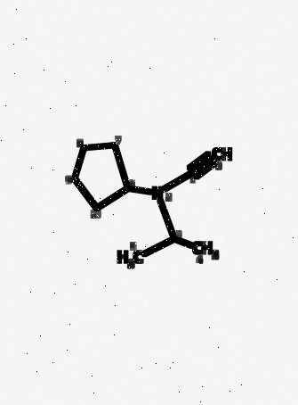 C#CN(C(C)C)C1CCCC1